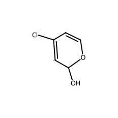 OC1[C]=C(Cl)C=CO1